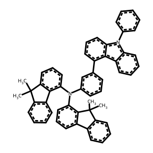 CC1(C)c2ccccc2-c2c(N(c3cccc(-c4cccc5c4c4ccccc4n5-c4ccccc4)c3)c3cccc4c3C(C)(C)c3ccccc3-4)cccc21